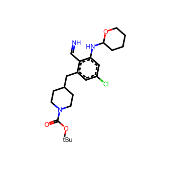 CC(C)(C)OC(=O)N1CCC(Cc2cc(Cl)cc(NC3CCCCO3)c2C=N)CC1